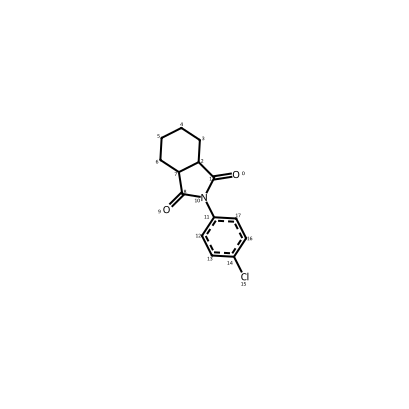 O=C1C2CCCCC2C(=O)N1c1ccc(Cl)cc1